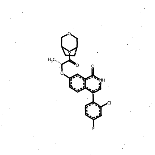 C[C@@H](Oc1ccc2c(-c3ccc(F)cc3Cl)c[nH]c(=O)c2c1)C(=O)N1C2CCC1COC2